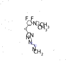 C=N/C=C\C=N/Cc1ncc(C2CC2C2=CC(N3CCC(C)(C)C3)=C(F)C(F)C2)cn1